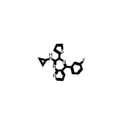 Fc1cccc(C2=NC(c3cccs3)C(NC3CC3)=Nc3ncccc32)c1